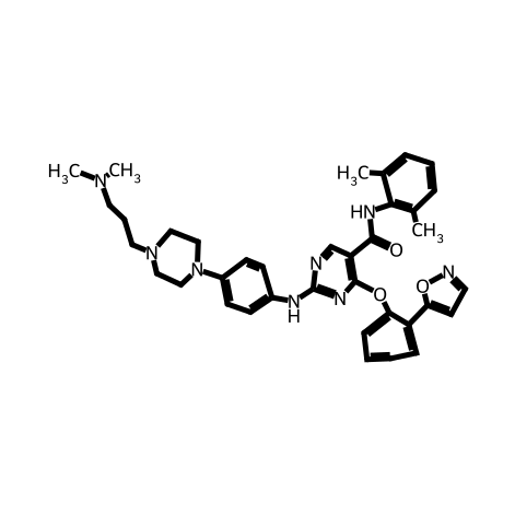 Cc1cccc(C)c1NC(=O)c1cnc(Nc2ccc(N3CCN(CCCN(C)C)CC3)cc2)nc1Oc1ccccc1-c1ccno1